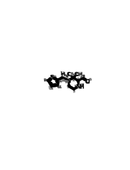 CC1(C)C(C=O)NCCN1Cc1cccs1